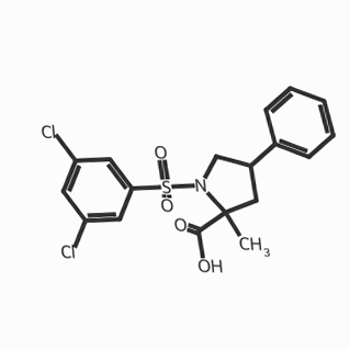 CC1(C(=O)O)CC(c2ccccc2)CN1S(=O)(=O)c1cc(Cl)cc(Cl)c1